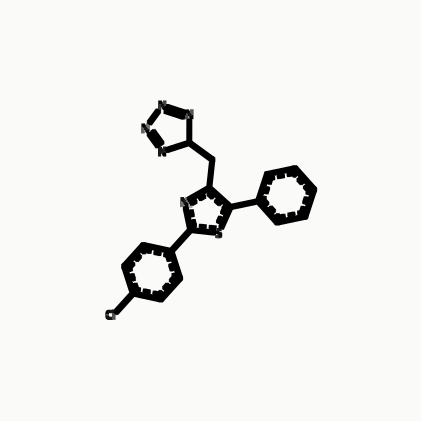 Clc1ccc(-c2nc(CC3N=NN=N3)c(-c3ccccc3)s2)cc1